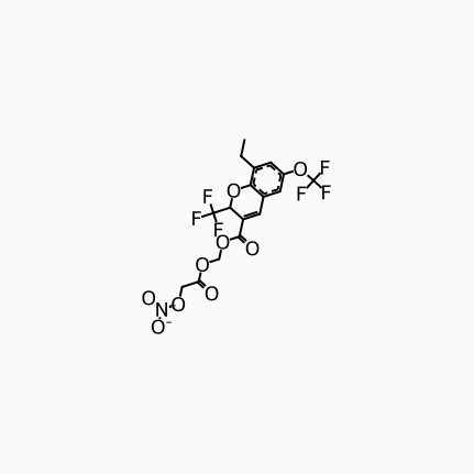 CCc1cc(OC(F)(F)F)cc2c1OC(C(F)(F)F)C(C(=O)OCOC(=O)CO[N+](=O)[O-])=C2